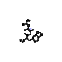 BC(Cc1ccc2c(c1)OCO2)N(C)C/C(C)=C(\C)OC(=O)CCC